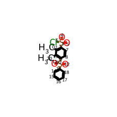 Cc1c(S(=O)(=O)Cl)ccc(S(=O)(=O)c2ccccc2)c1C